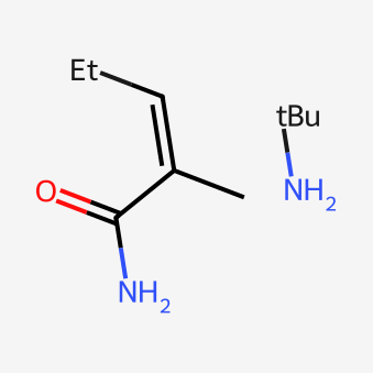 CC(C)(C)N.CCC=C(C)C(N)=O